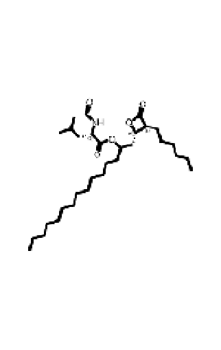 CCCCCCCCCCCCCC(C[C@@H]1OC(=O)[C@H]1CCCCCC)OC(=O)[C@H](CC(C)C)NC=O